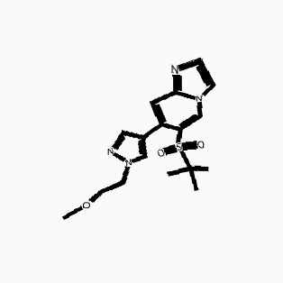 COCCn1cc(-c2cc3nccn3cc2S(=O)(=O)C(C)(C)C)cn1